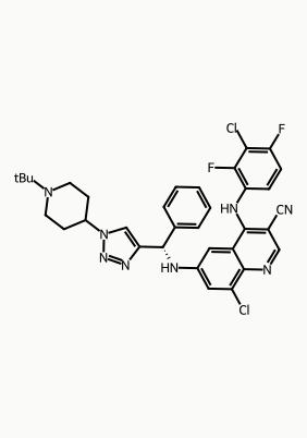 CC(C)(C)N1CCC(n2cc([C@@H](Nc3cc(Cl)c4ncc(C#N)c(Nc5ccc(F)c(Cl)c5F)c4c3)c3ccccc3)nn2)CC1